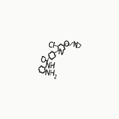 Nc1ccccc1NC(=O)c1ccc(-c2ncc(OCCN3CCCC3)cc2Cl)cc1